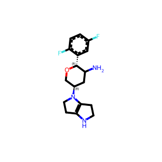 NC1C[C@@H](N2CCC3=C2CCN3)CO[C@@H]1c1cc(F)ccc1F